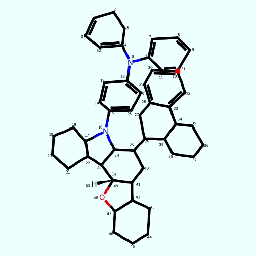 C1=CCCC(N(c2ccccc2)c2ccc(N3C4CCCCC4C4C3C(C3Cc5ccccc5C5CCCCC53)CC3C5CCCCC5O[C@@H]34)cc2)=C1